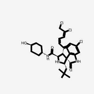 C=C(/C=C\C=C(\Cl)CCl)[C@H]1[C@H](C(=O)N[C@H]2CC[C@H](O)CC2)N[C@@H](CC(C)(C)C)[C@@]12C(=O)Nc1cc(Cl)ccc12